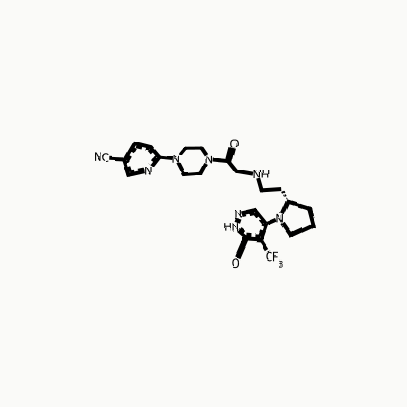 N#Cc1ccc(N2CCN(C(=O)CNCC[C@@H]3CCCN3c3cn[nH]c(=O)c3C(F)(F)F)CC2)nc1